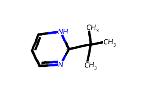 CC(C)(C)[C]1N=CC=CN1